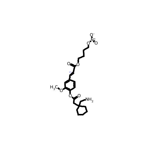 COc1cc(/C=C/C(=O)OCCCCO[N+](=O)[O-])ccc1OC(=O)CC1(CN)CCCCC1